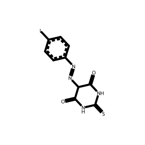 O=C1NC(=S)NC(=O)C1/N=N/c1ccc(I)cc1